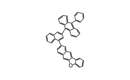 c1ccc(-c2c3ccccc3c(-c3cc(-c4ccc5cc6oc7ccccc7c6cc5c4)c4ccccc4c3)c3ccccc23)cc1